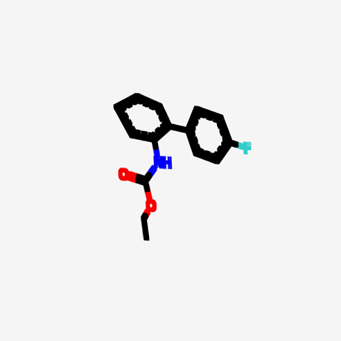 CCOC(=O)Nc1ccccc1-c1ccc(F)cc1